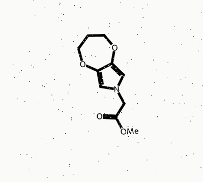 COC(=O)Cn1cc2c(c1)OCCCO2